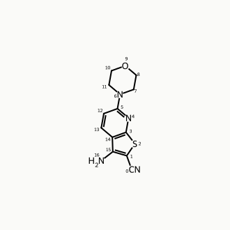 N#Cc1sc2nc(N3CCOCC3)ccc2c1N